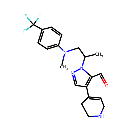 CC(CN(C)c1ccc(C(F)(F)F)cc1)n1ncc(C2=CCNCC2)c1C=O